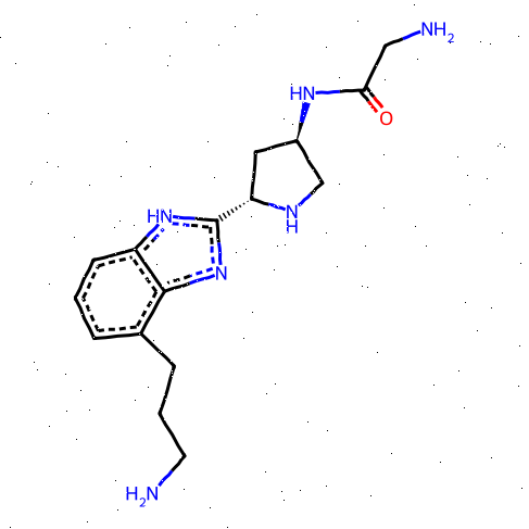 NCCCc1cccc2[nH]c([C@@H]3C[C@@H](NC(=O)CN)CN3)nc12